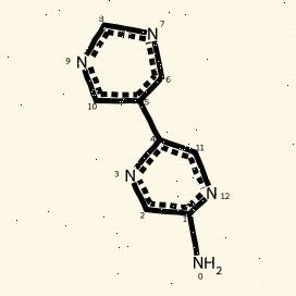 Nc1cnc(-c2cncnc2)cn1